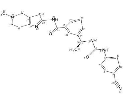 C[C@H](NC(=O)Nc1ccc(C#N)cc1)c1cccc(C(=O)Nc2nc3c(s2)CN(C)CC3)c1